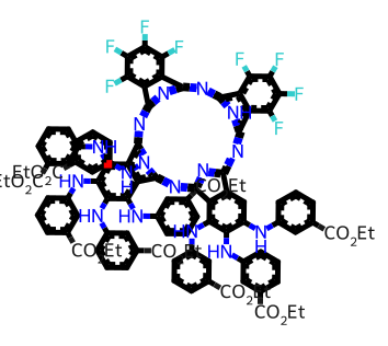 CCOC(=O)c1cccc(Nc2cc3c(c(Nc4cccc(C(=O)OCC)c4)c2Nc2cccc(C(=O)OCC)c2)-c2nc-3nc3[nH]c(nc4nc(nc5c6c(Nc7cccc(C(=O)OCC)c7)c(Nc7cccc(C(=O)OCC)c7)c(Nc7cccc(C(=O)OCC)c7)c(Nc7cccc(C(=O)OCC)c7)c6c(n2)n5Nc2cccc(C(=O)OCC)c2)-c2c(F)c(F)c(F)c(F)c2-4)c2c(F)c(F)c(F)c(F)c32)c1